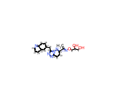 C/C(=N\OCC(O)CO)c1ccc2nnc(Cc3ccc4ncccc4c3)n2n1